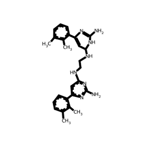 Cc1cccc(C2=CC(NCCNc3cc(-c4cccc(C)c4C)nc(N)n3)NC(N)=N2)c1C